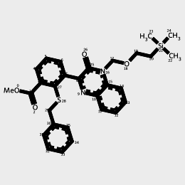 COC(=O)c1cccc(-c2nc3ccccc3n(COCC[Si](C)(C)C)c2=O)c1SCc1ccccc1